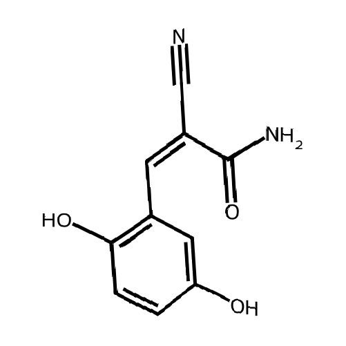 N#CC(=Cc1cc(O)ccc1O)C(N)=O